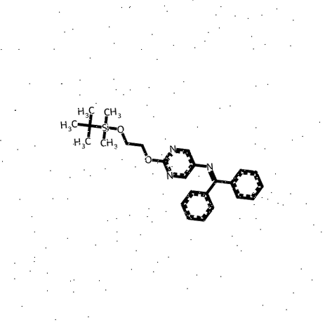 CC(C)(C)[Si](C)(C)OCCOc1ncc(N=C(c2ccccc2)c2ccccc2)cn1